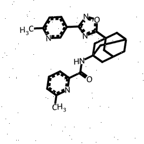 Cc1ccc(-c2noc(C34CC5CC(CC(NC(=O)c6cccc(C)n6)(C5)C3)C4)n2)cn1